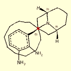 Nc1cccc([C@@H]2C[C@H]3CCC[C@@H](C2)N3C2CCCCCCCCC2)c1N